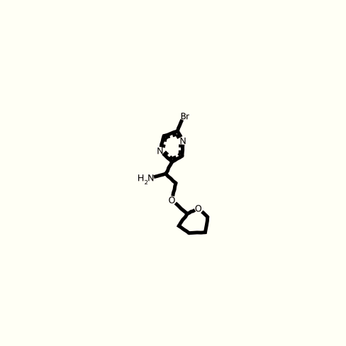 NC(COC1CCCCO1)c1cnc(Br)cn1